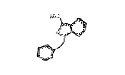 O=C(O)c1nn(Cc2ccccn2)c2ccccc12